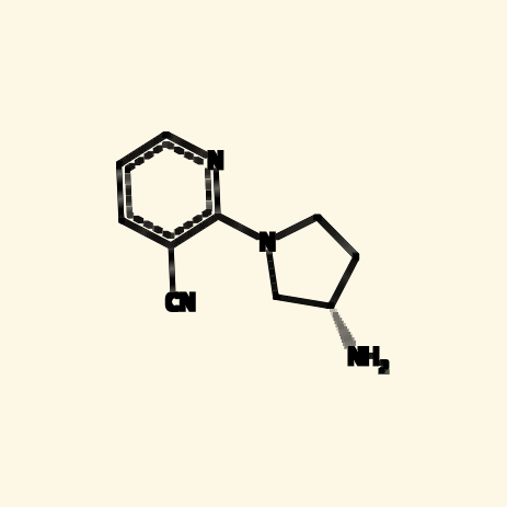 N#Cc1cccnc1N1CC[C@H](N)C1